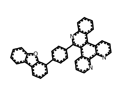 c1ccc2c(c1)nc(-c1ccc(-c3cccc4c3oc3ccccc34)cc1)c1c3cccnc3c3ncccc3c21